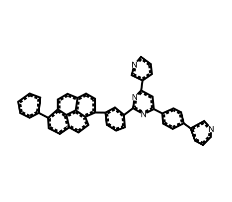 c1ccc(-c2ccc3ccc4c(-c5cccc(-c6nc(-c7ccc(-c8cccnc8)cc7)cc(-c7cccnc7)n6)c5)ccc5ccc2c3c54)cc1